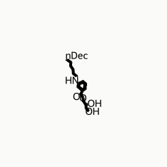 CCCCCCCCCCCCCCCCNc1cccc(C(=O)OCC(O)CO)c1